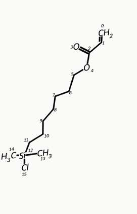 C=CC(=O)OCCCCCCC[Si](C)(C)Cl